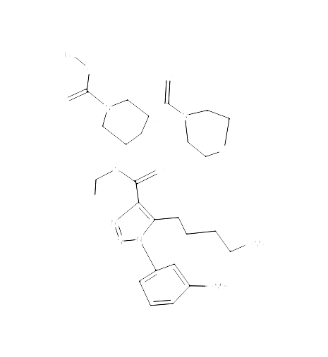 COCCCCc1c(C(=O)N(CC(C)C)[C@H]2C[C@@H](C(=O)N3CCOCC3)CN(C(=O)OC(C)(C)C)C2)nnn1-c1cccc(OC)c1